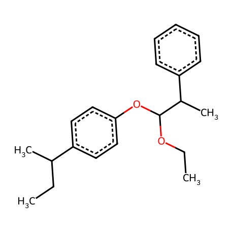 CCOC(Oc1ccc(C(C)CC)cc1)C(C)c1ccccc1